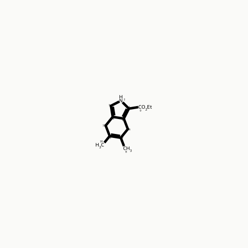 CCOC(=O)c1[nH]cc2c1CC(C)=C(C)C2